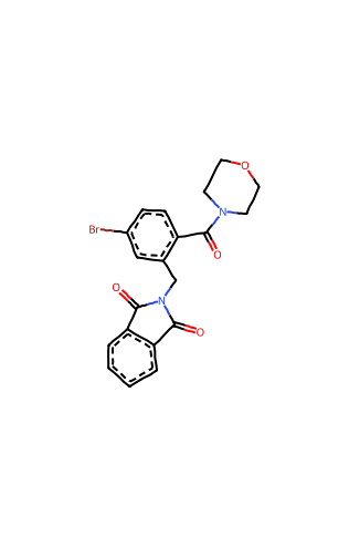 O=C(c1ccc(Br)cc1CN1C(=O)c2ccccc2C1=O)N1CCOCC1